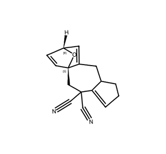 N#CC1(C#N)C[C@]23C=C[C@H](C=C2CC2CCC=C21)O3